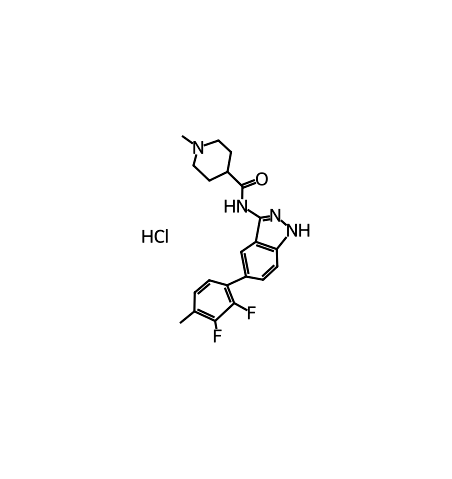 Cc1ccc(-c2ccc3[nH]nc(NC(=O)C4CCN(C)CC4)c3c2)c(F)c1F.Cl